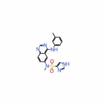 Cc1cccc(Nc2ncnc3ccc(N(C)S(=O)(=O)c4c[nH]cn4)cc23)c1